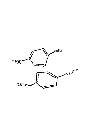 CCCCc1ccc(C(=O)[O-])cc1.CCCCc1ccc(C(=O)[O-])cc1.[Zn+2]